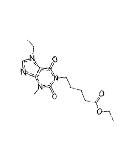 CCOC(=O)CCCCn1c(=O)c2c(ncn2CC)n(C)c1=O